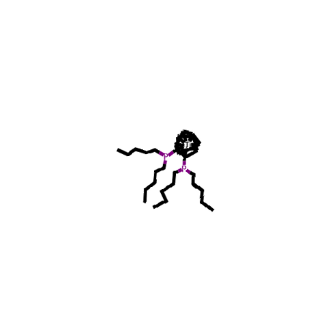 CCCCCP(CCCCC)[C]12[CH]3[CH]4[CH]5[C]1(P(CCCCC)CCCCC)[Ti]43521678[CH]2[CH]1[CH]6[CH]7[CH]28